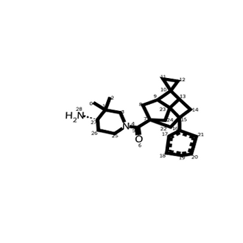 CC1(C)CN(C(=O)C23CC4C5(CC5)C5CC(c6ccccc6)(C2)C45C3)CC[C@@H]1N